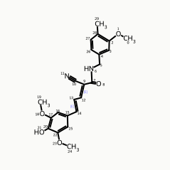 COc1cc(CNC(=O)/C(C#N)=C/C=C/c2cc(OC)c(O)c(OC)c2)ccc1C